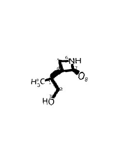 CC(CO)=C1CNC1=O